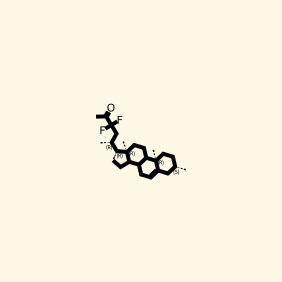 CC(=O)C(F)(F)C[C@@H](C)[C@H]1CCC2C3CC=C4C[C@@H](C)CC[C@]4(C)C3CC[C@@]21C